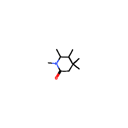 CC1C(C)C(C)(C)CC(=O)N1C